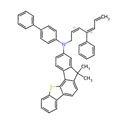 C=C/C=C(\C=C/CN(c1ccc(-c2ccccc2)cc1)c1ccc2c(c1)C(C)(C)c1ccc3c(sc4ccccc43)c1-2)c1ccccc1